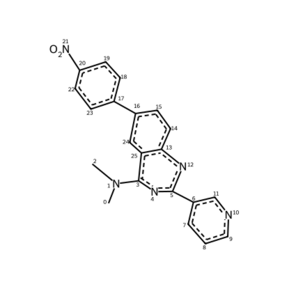 CN(C)c1nc(-c2cccnc2)nc2ccc(-c3ccc([N+](=O)[O-])cc3)cc12